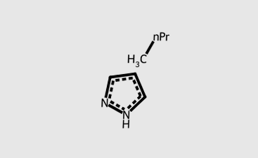 CCCC.c1cn[nH]c1